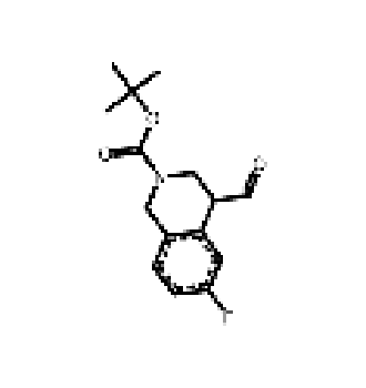 CC(C)(C)OC(=O)N1Cc2ccc(F)cc2C(C=O)C1